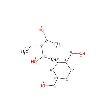 CCC(C(C)O)C(C)O.OCC1CCC(CO)CC1